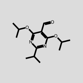 CC(C)Oc1nc(C(C)C)nc(OC(C)C)c1C=O